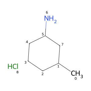 CC1CCCC(N)C1.Cl